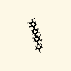 CCCc1ccc(-c2ccc(-c3ccc(C4OCC(C)CO4)c(F)c3F)cc2)c(F)c1F